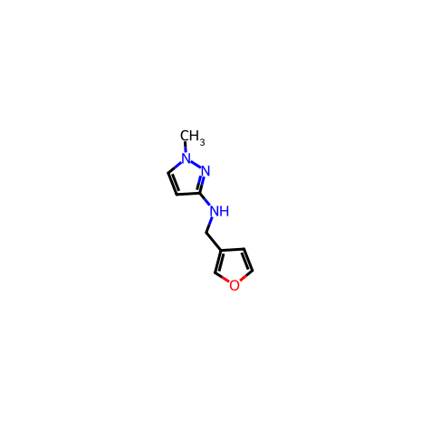 Cn1ccc(NCc2ccoc2)n1